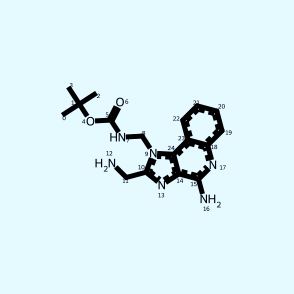 CC(C)(C)OC(=O)NCn1c(CN)nc2c(N)nc3ccccc3c21